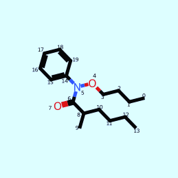 CCCCON(C(=O)C(C)CCCC)c1ccccc1